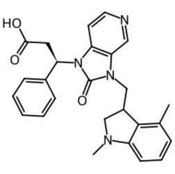 Cc1cccc2c1C(Cn1c(=O)n([C@H](CC(=O)O)c3ccccc3)c3ccncc31)CN2C